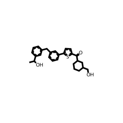 CC(O)c1cccc(Cc2cccc(-c3ccc(C(=O)C4CCCC(CO)C4)s3)c2)c1